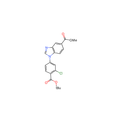 COC(=O)c1ccc2c(c1)ncn2-c1ccc(C(=O)OC(C)(C)C)c(Cl)c1